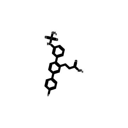 CS(=O)(=O)Nc1cccc(-c2ccc(-c3ccc(F)cc3)cc2CCC(N)=O)c1